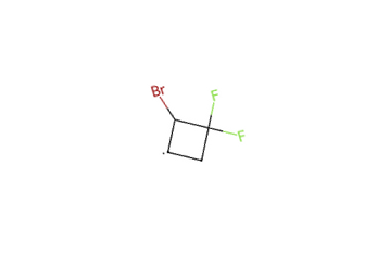 FC1(F)C[CH]C1Br